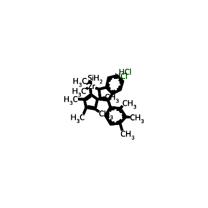 CC1=C(C)C(C)[C]([Zr]([CH3])([CH3])(=[SiH2])[CH]2C=C(c3ccc(C)c(C)c3C)c3ccccc32)=C1C.Cl.Cl